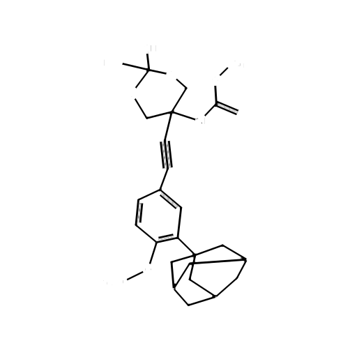 CCCCCCCCOc1ccc(C#CC2(NC(=O)OC(C)(C)C)COC(C)(C)OC2)cc1C12CC3CC(CC(C3)C1)C2